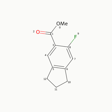 COC(=O)c1cc2c(cc1F)CCC2